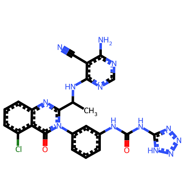 CC(Nc1ncnc(N)c1C#N)c1nc2cccc(Cl)c2c(=O)n1-c1cccc(NC(=O)Nc2nnn[nH]2)c1